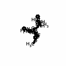 CCCOc1ccc(-c2cc(C(C(=O)OCCC(=O)N[C@@H](C)C(=O)N[C@@H](Cc3ccccc3)C(=O)O)n3cc4nc(-c5cccc(F)c5F)nc-4cn3)on2)c(C(F)(F)F)c1